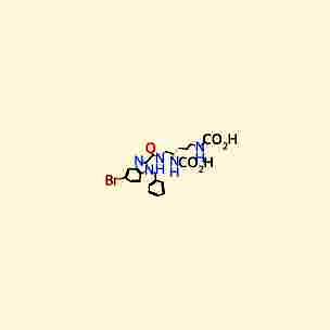 O=C(O)NCCC[C@@H](CNC(=O)c1nc2cc(Br)ccc2n1Cc1ccccc1)NC(=O)O